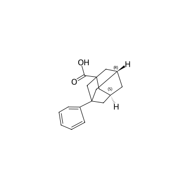 O=C(O)C12C[C@H]3C[C@@H](C1)CC(c1ccccc1)(C3)C2